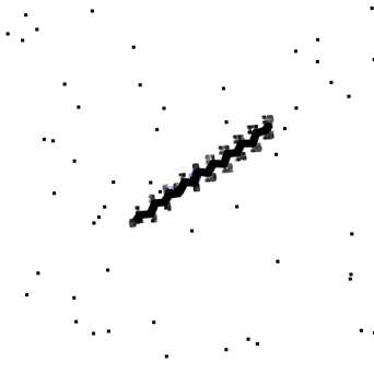 [CH2]CCCC/C=C/C/C=C/CCCCCCCCCC